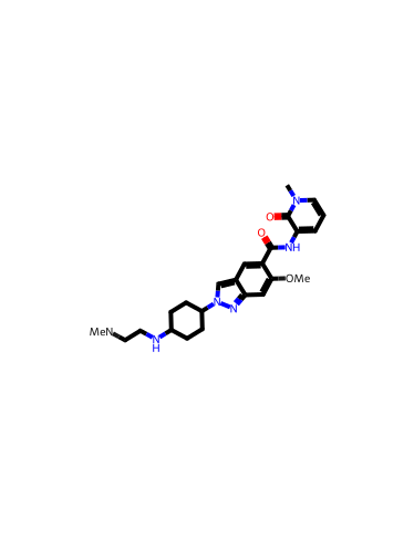 CNCCNC1CCC(n2cc3cc(C(=O)Nc4cccn(C)c4=O)c(OC)cc3n2)CC1